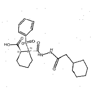 O=C(CC1CCCCC1)NNC(=O)[N@+]1(S(=O)(=O)c2ccccc2)CCCC[C@H]1C(=O)O